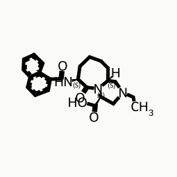 CCN1C[C@@H]2CCCC[C@H](NC(=O)c3cccc4ccccc34)C(=O)N2[C@H](C(=O)O)C1